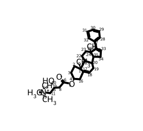 C[C@]12CC[C@H](OC(=O)C[C@@H](O)C[N+](C)(C)C)CC1=CCC1C2CC[C@]2(C)C(c3ccccc3)=CCC12